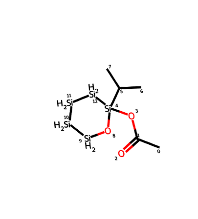 CC(=O)O[Si]1(C(C)C)O[SiH2][SiH2][SiH2][SiH2]1